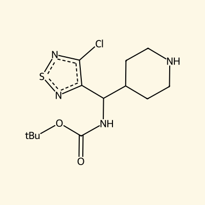 CC(C)(C)OC(=O)NC(c1nsnc1Cl)C1CCNCC1